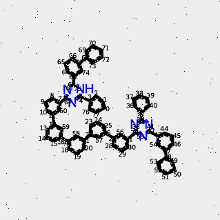 c1ccc(C2=NC(c3cccc(-c4cccc(-c5cccc(-c6cccc(-c7cccc(-c8nc(-c9ccccc9)nc(-c9cccc(-c%10ccccc%10)c9)n8)c7)c6)c5)c4)c3)=NC(c3cccc(-c4ccccc4)c3)N2)cc1